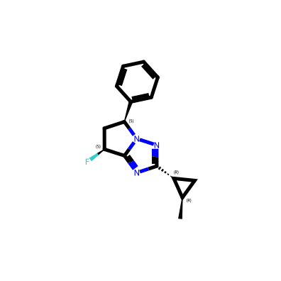 C[C@@H]1C[C@H]1c1nc2n(n1)[C@H](c1ccccc1)C[C@@H]2F